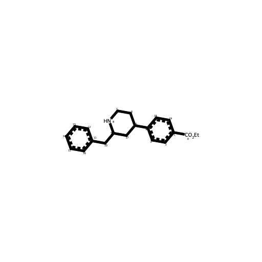 CCOC(=O)c1ccc(C2CCNC(Cc3ccccc3)C2)cc1